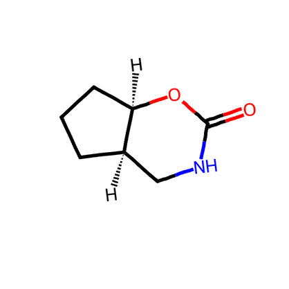 O=C1NC[C@H]2CCC[C@H]2O1